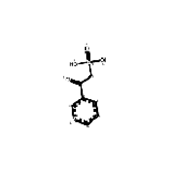 O=C(CP(=O)(O)O)c1cccnc1